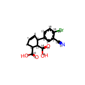 N#Cc1cc(C2C=CCC(C(=O)O)C2C(=O)O)ccc1Br